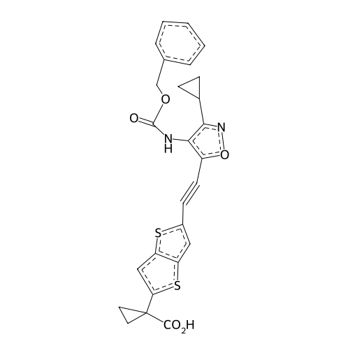 O=C(Nc1c(C2CC2)noc1C#Cc1cc2sc(C3(C(=O)O)CC3)cc2s1)OCc1ccccc1